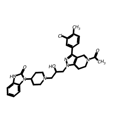 CC(=O)N1CCc2c(c(-c3ccc(C)c(Cl)c3)nn2CC(O)CN2CCC(n3c(=O)[nH]c4ccccc43)CC2)C1